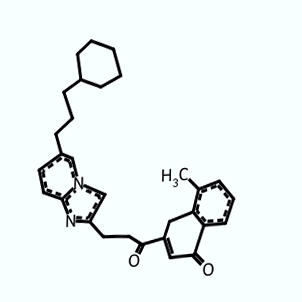 Cc1cccc2c1CC(C(=O)CCc1cn3cc(CCCC4CCCCC4)ccc3n1)=CC2=O